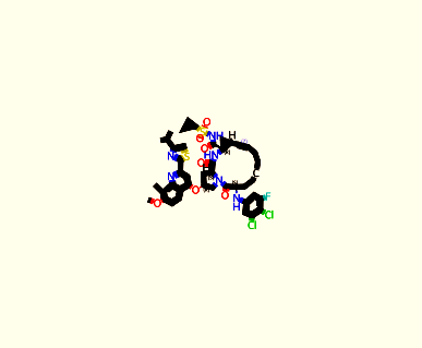 COc1ccc2c(O[C@@H]3C[C@H]4C(=O)N[C@]5(C(=O)NS(=O)(=O)C6CC6)C[C@H]5/C=C\CCCCC[C@H](Nc5cc(F)c(Cl)c(Cl)c5)C(=O)N4C3)cc(-c3nc(C(C)C)cs3)nc2c1C